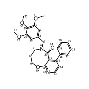 COc1cc(CN2CCCOc3nccc(-c4ccccc4)c3C2=O)cc(OC)c1OC